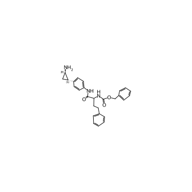 N[C@@H]1C[C@H]1c1ccc(NC(=O)C(CCc2ccccc2)NC(=O)OCc2ccccc2)cc1